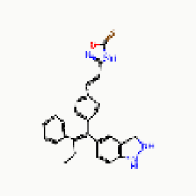 CC/C(=C(/c1ccc(/C=C/c2noc(=S)[nH]2)cc1)c1ccc2c(c1)CNN2)c1ccccc1